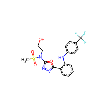 CS(=O)(=O)N(CCO)c1nnc(-c2ccccc2Nc2ccc(C(F)(F)F)cc2)o1